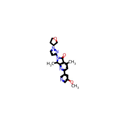 COc1cncc(-c2cc(C)c3c(n2)C(C)N(c2ccn([C@@H]4CCOC4)n2)C3=O)c1